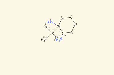 CCC(C)(CC)C1(N)CCCCC1N